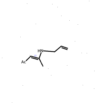 C=CCN/C(C)=C/C(C)=O